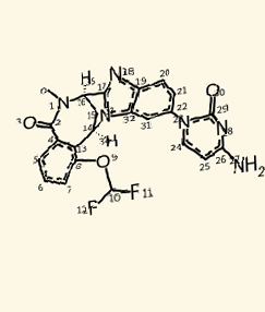 CN1C(=O)c2cccc(OC(F)F)c2[C@H]2C[C@@H]1c1nc3ccc(-n4ccc(N)nc4=O)cc3n12